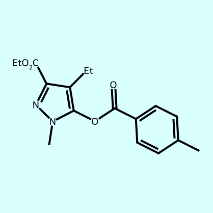 CCOC(=O)c1nn(C)c(OC(=O)c2ccc(C)cc2)c1CC